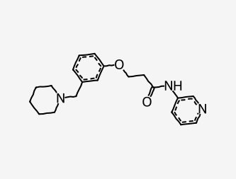 O=C(CCOc1cccc(CN2CCCCC2)c1)Nc1cccnc1